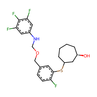 O[C@@H]1CCCCC(Sc2cc(COCNc3cc(F)c(F)c(F)c3)ccc2F)C1